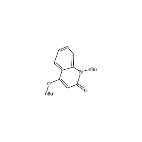 CCCCOc1cc(=O)n(CCCC)c2ccccc12